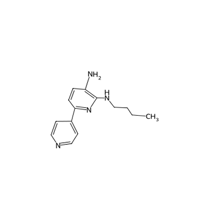 CCCCNc1nc(-c2ccncc2)ccc1N